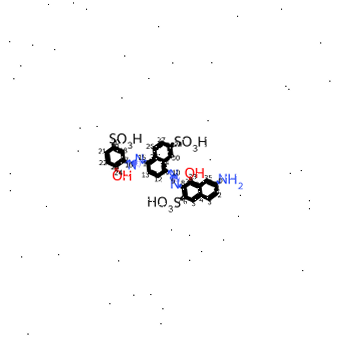 Nc1ccc2cc(S(=O)(=O)O)c(/N=N/c3ccc(/N=N/c4cc(S(=O)(=O)O)ccc4O)c4ccc(S(=O)(=O)O)cc34)c(O)c2c1